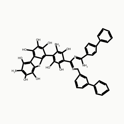 Bc1c(O)c(C(/N=C(\N)c2ccc(-c3ccccc3)cc2)=N/Cc2cccc(-c3ccccc3)c2)c(O)c(O)c1-c1c(O)c(O)c(O)c2c1sc1c(O)c(O)c(B)c(O)c12